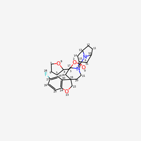 O=C(OCC1CCCO1)N1C2CCC1CC(N1CCC3(CC1)COc1ccc(F)cc13)C2